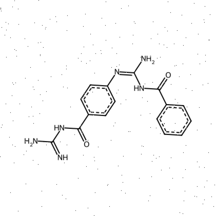 N=C(N)NC(=O)c1ccc(N=C(N)NC(=O)c2ccccc2)cc1